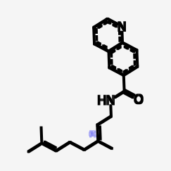 CC(C)=CCC/C(C)=C/CNC(=O)c1ccc2ncccc2c1